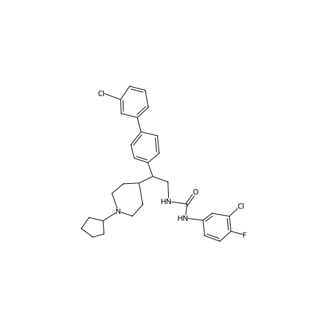 O=C(NCC(c1ccc(-c2cccc(Cl)c2)cc1)C1CCN(C2CCCC2)CC1)Nc1ccc(F)c(Cl)c1